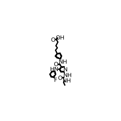 CCNC(=O)Nc1cc(Nc2cccc(F)c2)c(C(=O)Nc2ccc(CCCCC(=O)O)cc2)cn1